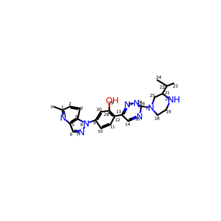 Cc1ccc2c(cnn2-c2ccc(-c3cnc(N4CCNC(C(C)C)C4)nn3)c(O)c2)n1